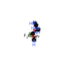 CC(C)C(Oc1cc(NC(=O)c2cccnc2Nc2ccc3cn[nH]c3c2)ccc1C(F)(F)C(F)(F)F)C1CCNCC1